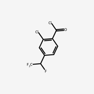 O=C(Cl)c1ccc(C(F)C(F)(F)F)cc1Cl